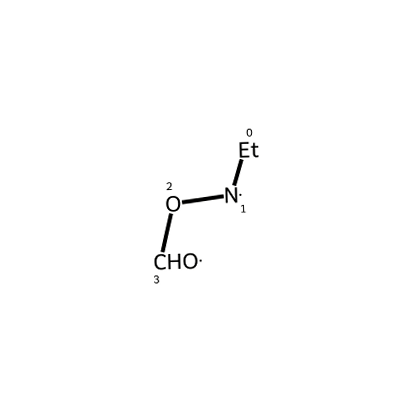 CC[N]O[C]=O